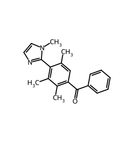 Cc1cc(C(=O)c2ccccc2)c(C)c(C)c1-c1nccn1C